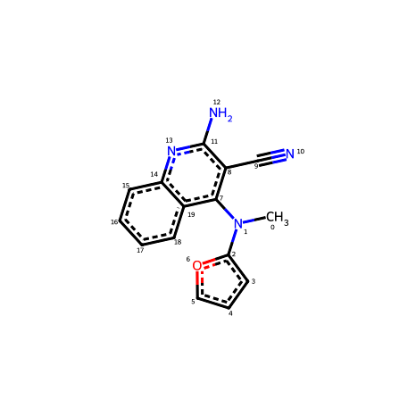 CN(c1ccco1)c1c(C#N)c(N)nc2ccccc12